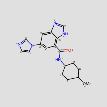 COC1CCC(NC(=O)c2cc(-n3ccnc3)cc3nc[nH]c23)CC1